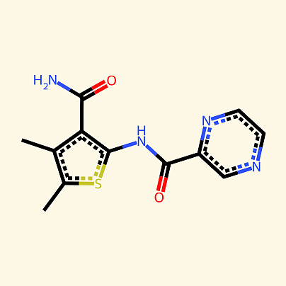 Cc1sc(NC(=O)c2cnccn2)c(C(N)=O)c1C